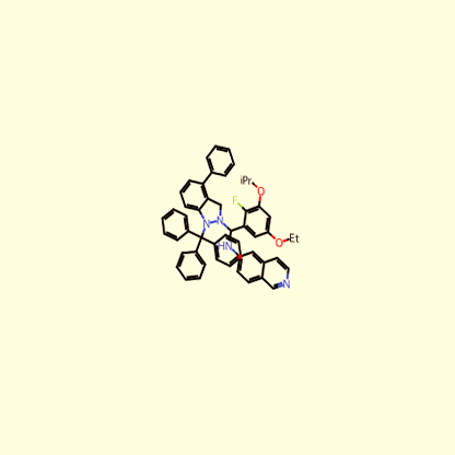 CCOc1cc(OC(C)C)c(F)c(C(Nc2ccc3cnccc3c2)N2Cc3c(-c4ccccc4)cccc3N2C(c2ccccc2)(c2ccccc2)c2ccccc2)c1